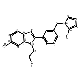 FCCn1c(-c2cncc(Cn3cncc3F)c2)nc2ccc(Cl)cc21